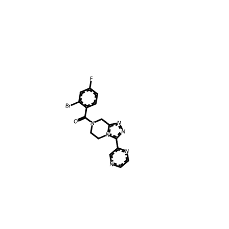 O=C(c1ccc(F)cc1Br)N1CCn2c(nnc2-c2cnccn2)C1